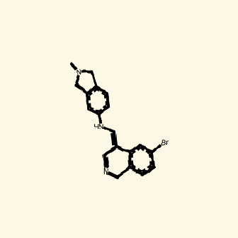 CN1Cc2ccc(NC=C3C=NCc4ccc(Br)cc43)cc2C1